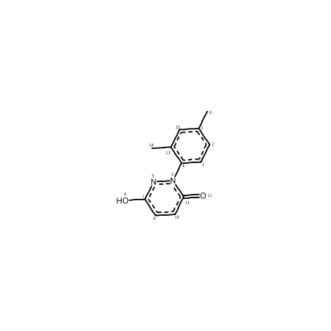 Cc1ccc(-n2nc(O)ccc2=O)c(C)c1